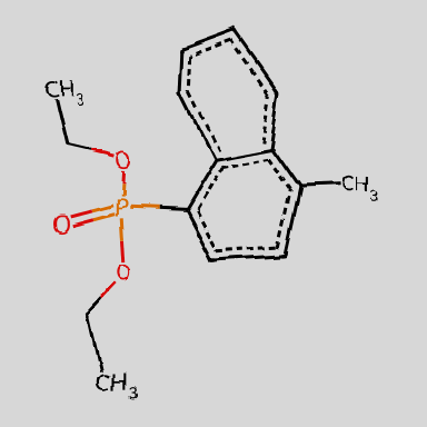 CCOP(=O)(OCC)c1ccc(C)c2ccccc12